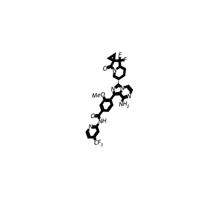 COc1cc(C(=O)Nc2cc(C(F)(F)F)ccn2)ccc1-c1nc([C@H]2CCC3N(C2)C(=O)C2(CC2)C3(F)F)n2ccnc(N)c12